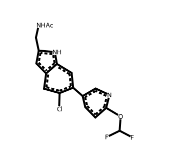 CC(=O)NCc1cc2cc(Cl)c(-c3ccc(OC(F)F)nc3)cc2[nH]1